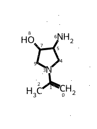 C=C(C)N1CC(N)C(O)C1